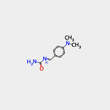 CN(C)c1ccc(/C=N/C(N)=O)cc1